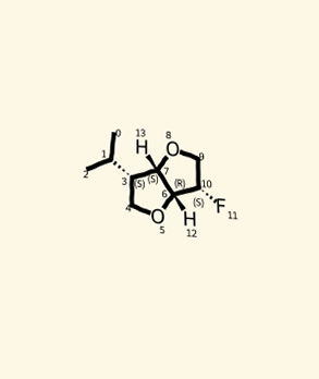 CC(C)[C@H]1CO[C@@H]2[C@H]1OC[C@@H]2F